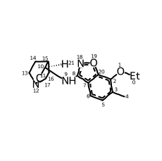 CCOc1c(C)ccc2c(N[C@H]3CN4CCC3CC4)noc12